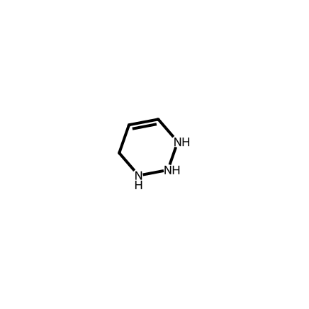 C1=CNNNC1